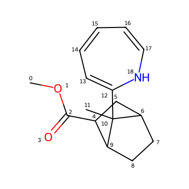 COC(=O)C1CC2CCC1C2(C)C1=CC=CC=CN1